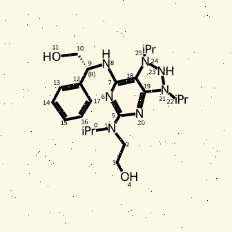 CC(C)N(CCO)c1nc(N[C@@H](CO)c2ccccc2)c2c(n1)N(C(C)C)NN2C(C)C